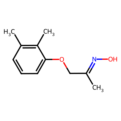 CC(COc1cccc(C)c1C)=NO